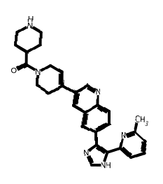 Cc1cccc(-c2[nH]cnc2-c2ccc3ncc(C4=CCN(C(=O)C5CCNCC5)CC4)cc3c2)n1